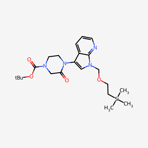 CC(C)(C)OC(=O)N1CCN(c2cn(COCC[Si](C)(C)C)c3ncccc23)C(=O)C1